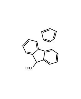 O=C(O)C1c2ccccc2-c2ccccc21.c1ccccc1